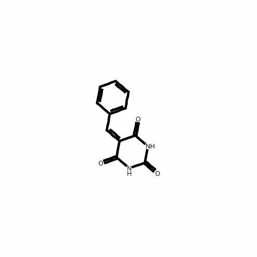 O=C1NC(=O)C(=Cc2ccccc2)C(=O)N1